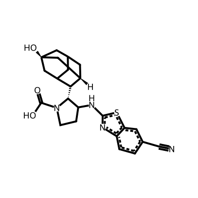 N#Cc1ccc2nc(NC3CCN(C(=O)O)[C@@H]3C3C4CC5C[C@H]3C[C@@](O)(C5)C4)sc2c1